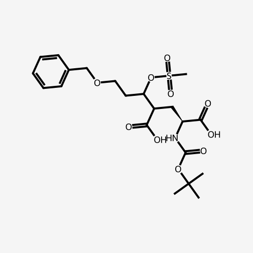 CC(C)(C)OC(=O)N[C@@H](CC(C(=O)O)C(CCOCc1ccccc1)OS(C)(=O)=O)C(=O)O